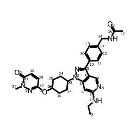 CCNc1cc2c(cn1)c(-c1ccc(CNC(C)=O)cc1)nn2C1CCC(Oc2ccc(=O)n(C)n2)CC1